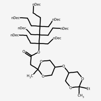 CCCCCCCCCCCCC(CCCCCCCCCCC)(CCCCCCCCCCCC)C(CCCCCCCCCCC)(CCCCCCCCCCCC)C(CCCCCCCCCCC)(CCCCCCCCCCCC)OC(=O)CC1(C)OCC(OC2COC(C)(CC)OC2)CO1